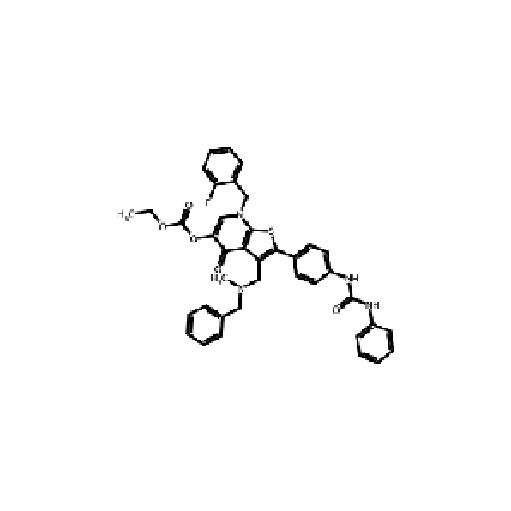 CCOC(=O)Oc1cn(Cc2ccccc2F)c2sc(-c3ccc(NC(=O)Nc4ccccc4)cc3)c(CN(C)Cc3ccccc3)c2c1=O